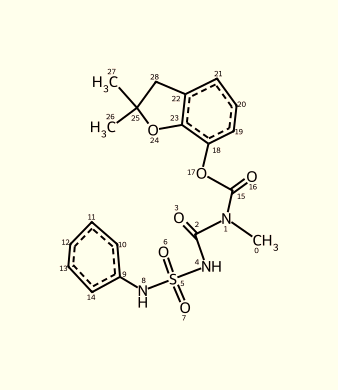 CN(C(=O)NS(=O)(=O)Nc1ccccc1)C(=O)Oc1cccc2c1OC(C)(C)C2